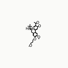 COCCCOc1cc(CCNC(C)(C)C)c(-c2cc(=O)c(C(C)=O)c[nH]2)cc1OC